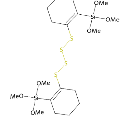 CO[Si](OC)(OC)C1=C(SSSSC2=C([Si](OC)(OC)OC)CCCC2)CCCC1